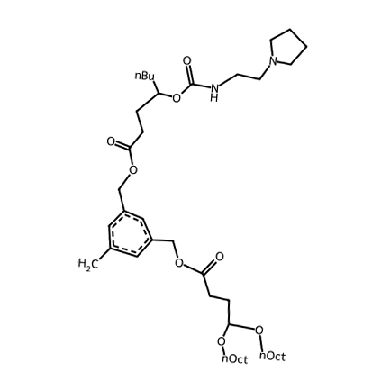 [CH2]c1cc(COC(=O)CCC(CCCC)OC(=O)NCCN2CCCC2)cc(COC(=O)CCC(OCCCCCCCC)OCCCCCCCC)c1